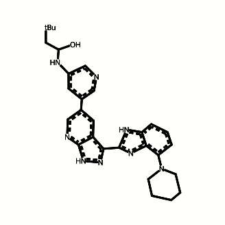 CC(C)(C)CC(O)Nc1cncc(-c2cnc3[nH]nc(-c4nc5c(N6CCCCC6)cccc5[nH]4)c3c2)c1